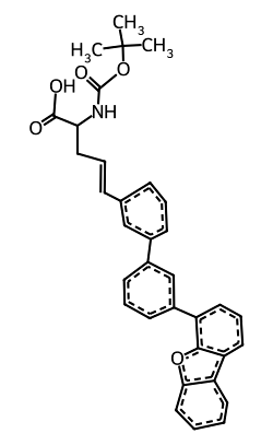 CC(C)(C)OC(=O)NC(CC=Cc1cccc(-c2cccc(-c3cccc4c3oc3ccccc34)c2)c1)C(=O)O